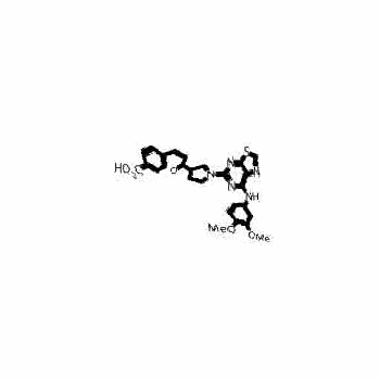 COc1ccc(Nc2nc(N3CCC(C(=O)/C=C\c4ccc(C(=O)O)cc4)C3)nc3scnc23)cc1OC